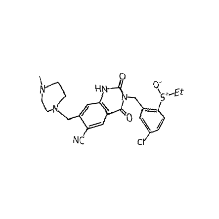 CC[S+]([O-])c1ccc(Cl)cc1Cn1c(=O)[nH]c2cc(CN3CCN(C)CC3)c(C#N)cc2c1=O